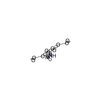 C=CC(=O)OCCCCCCOC1=CC=C(C(=O)Oc2ccc(OC(=O)c3ccc(OCCCCCCOC(=O)C=C)cc3)c(/C=N/NC3N=NC=C4C=CC=CC43)c2)CC1